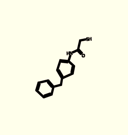 O=C(CS)Nc1ccc(Cc2ccccc2)cc1